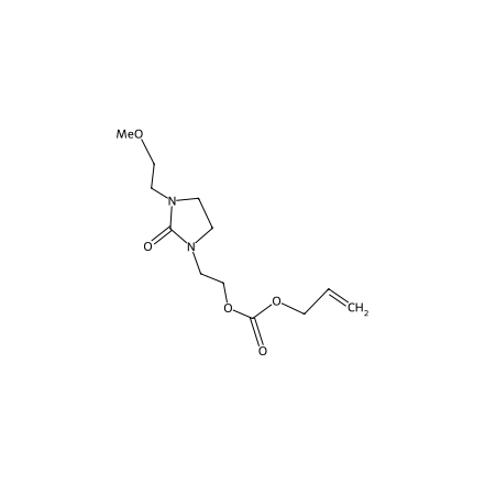 C=CCOC(=O)OCCN1CCN(CCOC)C1=O